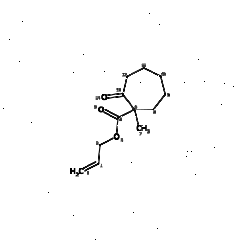 C=CCOC(=O)C1(C)CCCCCC1=O